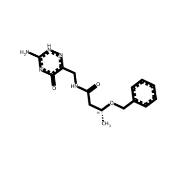 C[C@H](CC(=O)NCc1n[nH]c(N)nc1=O)OCc1ccccc1